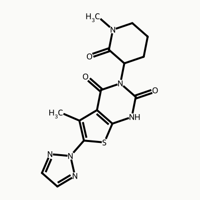 Cc1c(-n2nccn2)sc2[nH]c(=O)n(C3CCCN(C)C3=O)c(=O)c12